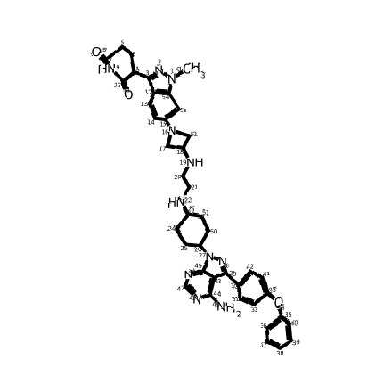 Cn1nc(C2CCC(=O)NC2=O)c2ccc(N3CC(NCCNC4CCC(n5nc(-c6ccc(Oc7ccccc7)cc6)c6c(N)ncnc65)CC4)C3)cc21